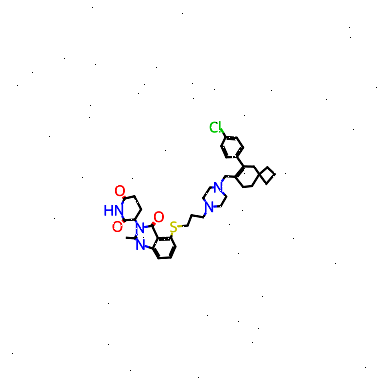 Cc1nc2cccc(SCCCN3CCN(CC4=C(c5ccc(Cl)cc5)CC5(CCC5)CC4)CC3)c2c(=O)n1C1CCC(=O)NC1=O